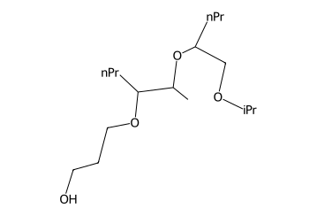 CCCC(COC(C)C)OC(C)C(CCC)OCCCO